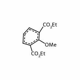 CCOC(=O)c1cccc(C(=O)OCC)c1OC